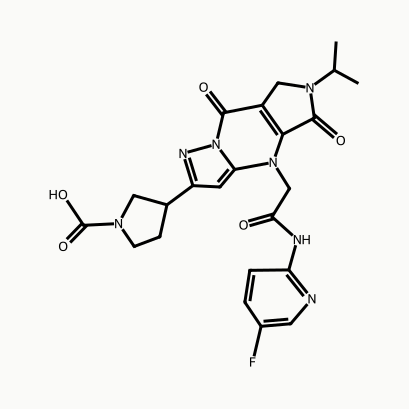 CC(C)N1Cc2c(n(CC(=O)Nc3ccc(F)cn3)c3cc(C4CCN(C(=O)O)C4)nn3c2=O)C1=O